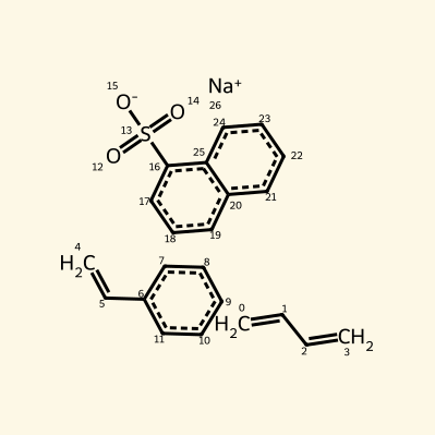 C=CC=C.C=Cc1ccccc1.O=S(=O)([O-])c1cccc2ccccc12.[Na+]